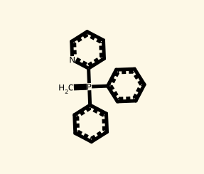 C=P(c1ccccc1)(c1ccccc1)c1ccccn1